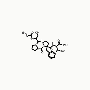 COC(=O)C(NC(=O)C1(Cc2ccccc2)CCCN1C(=O)[C@@H]1CCCN1C(=O)C(CO)NC(=O)OC(C)(C)C)C(C)OC(C)=O